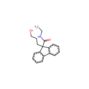 O=C(NCC(F)(F)F)C1(CCCO)c2ccccc2-c2ccccc21